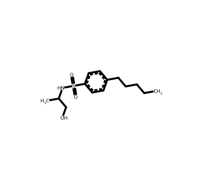 CCCCCc1ccc(S(=O)(=O)NC(C)CO)cc1